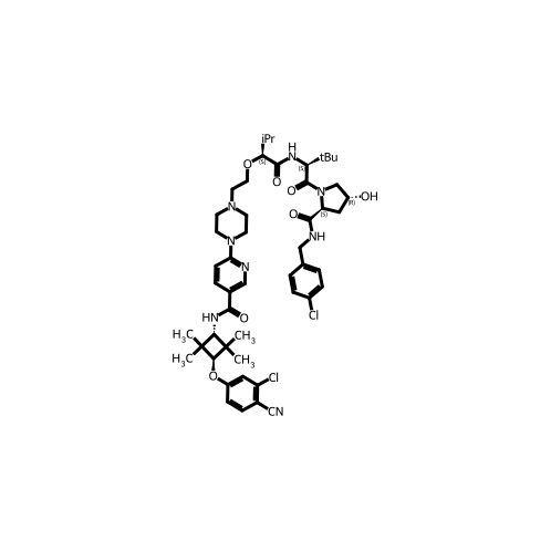 CC(C)[C@H](OCCN1CCN(c2ccc(C(=O)N[C@H]3C(C)(C)[C@H](Oc4ccc(C#N)c(Cl)c4)C3(C)C)cn2)CC1)C(=O)N[C@H](C(=O)N1C[C@H](O)C[C@H]1C(=O)NCc1ccc(Cl)cc1)C(C)(C)C